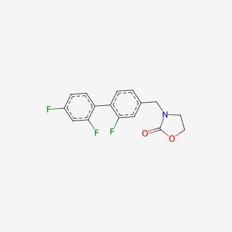 O=C1OCCN1Cc1ccc(-c2ccc(F)cc2F)c(F)c1